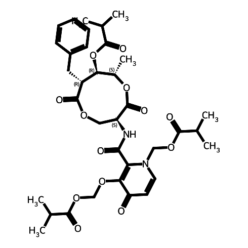 CC(C)C(=O)OCOc1c(C(=O)N[C@H]2COC(=O)[C@H](Cc3ccccc3)[C@@H](OC(=O)C(C)C)[C@H](C)OC2=O)n(COC(=O)C(C)C)ccc1=O